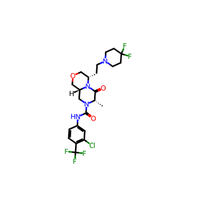 C[C@H]1C(=O)N2[C@@H](CCN3CCC(F)(F)CC3)COC[C@H]2CN1C(=O)Nc1ccc(C(F)(F)F)c(Cl)c1